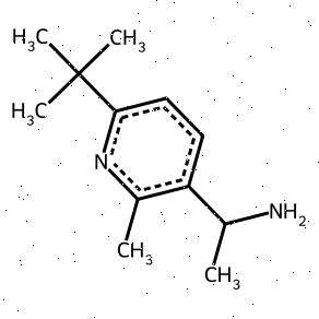 Cc1nc(C(C)(C)C)ccc1C(C)N